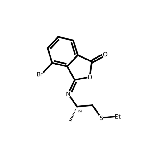 CCSC[C@H](C)N=C1OC(=O)c2cccc(Br)c21